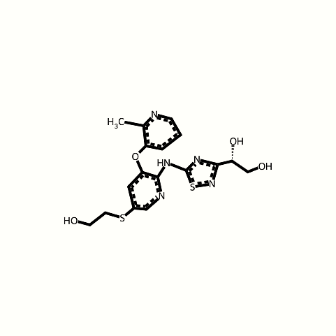 Cc1ncccc1Oc1cc(SCCO)cnc1Nc1nc([C@H](O)CO)ns1